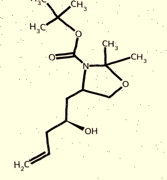 C=CC[C@H](O)CC1COC(C)(C)N1C(=O)OC(C)(C)C